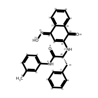 Cc1cccc(NC(=O)[C@@H](Cc2ccccc2)NC2=CC(=NO)c3ccccc3C2=O)c1